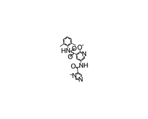 COc1ncc(NC(=O)c2cncn2C)cc1S(=O)(=O)Nc1c(C)cccc1C